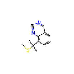 CSC(C)(C)c1cccc2cncnc12